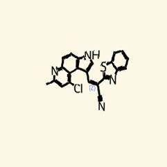 Cc1cc(Cl)c2c(ccc3[nH]cc(/C=C(/C#N)c4nc5ccccc5s4)c32)n1